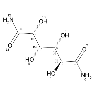 NC(=O)[C@@H](O)[C@@H](O)[C@H](O)[C@@H](O)C(N)=O